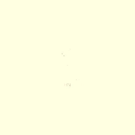 CCCS(=O)(=O)N(Cc1ccc(C(=O)Nc2ccccc2OCC)cc1)c1ccc(C)c(C)c1